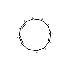 [CH]1C=CCCCC=CC=CCC1